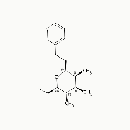 C[C@H]1[C@@H](C)[C@@H](CI)O[C@@H](CCc2ccccc2)[C@H]1C